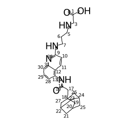 O=C(O)CNCCCNc1ccc2c(NC(=O)CC34CC5CC(CC(C5)C3)C4)cccc2n1